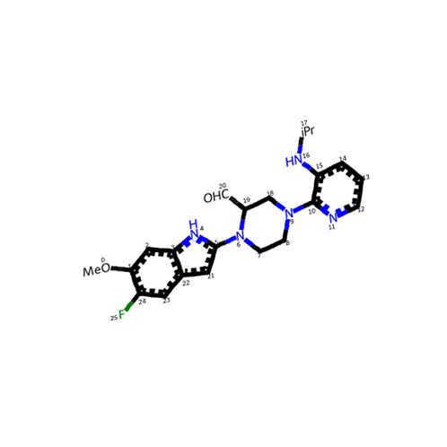 COc1cc2[nH]c(N3CCN(c4ncccc4NC(C)C)CC3C=O)cc2cc1F